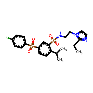 CCc1nccn1CCNS(=O)(=O)c1cc(S(=O)(=O)c2ccc(F)cc2)ccc1C(C)C